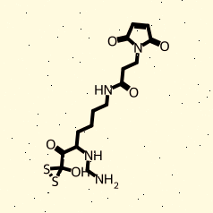 NCNC(CCCCNC(=O)CCN1C(=O)C=CC1=O)C(=O)C1(O)SS1